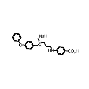 C[SiH](CCCNc1ccc(C(=O)O)cc1)Cc1ccc(Oc2ccccc2)cc1.[NaH]